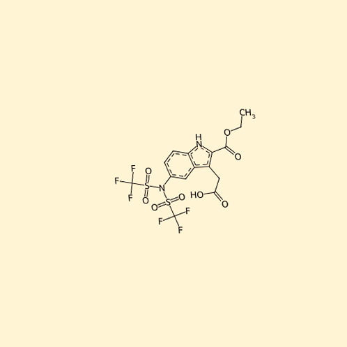 CCOC(=O)c1[nH]c2ccc(N(S(=O)(=O)C(F)(F)F)S(=O)(=O)C(F)(F)F)cc2c1CC(=O)O